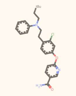 CC(C)(C)CCN(CCc1ccc(Oc2ccc(C(N)=O)cn2)cc1Cl)c1ccccc1